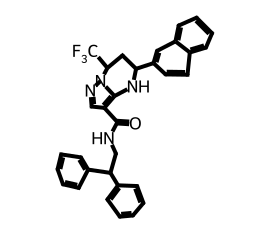 O=C(NCC(c1ccccc1)c1ccccc1)c1cnn2c1NC(c1ccc3ccccc3c1)CC2C(F)(F)F